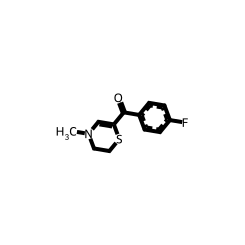 CN1C=C(C(=O)c2ccc(F)cc2)SCC1